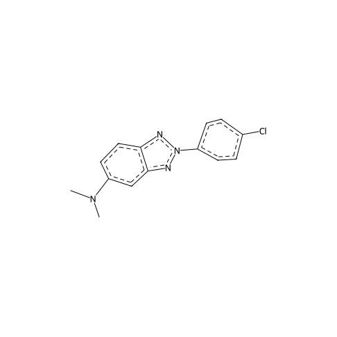 CN(C)c1ccc2nn(-c3ccc(Cl)cc3)nc2c1